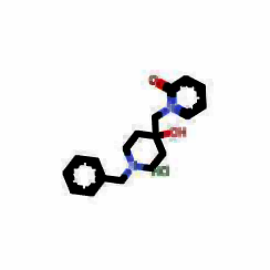 Cl.O=c1ccccn1CC1(O)CCN(Cc2ccccc2)CC1